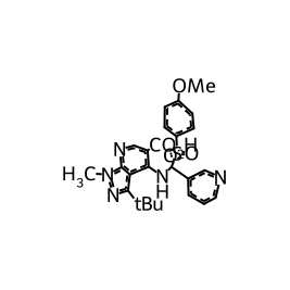 COc1ccc(S(=O)(=O)C(Nc2c(C(=O)O)cnc3c2c(C(C)(C)C)nn3C)c2cccnc2)cc1